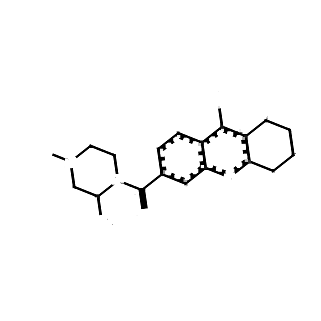 N#CC1CN(C(=O)O)CCN1C(=O)c1ccc2c(Cl)c3c(nc2c1)CCCC3